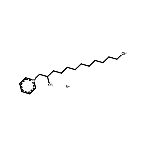 OCCCCCCCCCCC(O)C[n+]1ccccc1.[Br-]